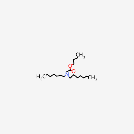 CCCCCCCN(CCCCCCC)CC(=O)OCCCC